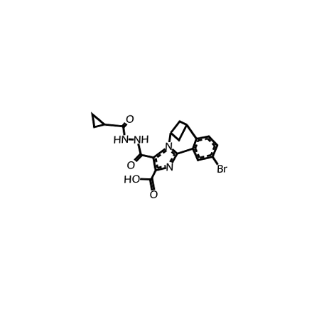 O=C(O)c1nc2n(c1C(=O)NNC(=O)C1CC1)C1CC(C1)c1ccc(Br)cc1-2